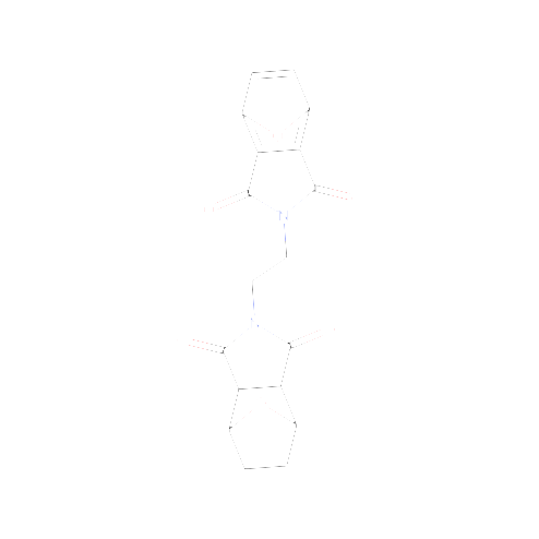 O=C1c2c(c3ccc2o3)C(=O)N1CCN1C(=O)C2C3CCC(O3)C2C1=O